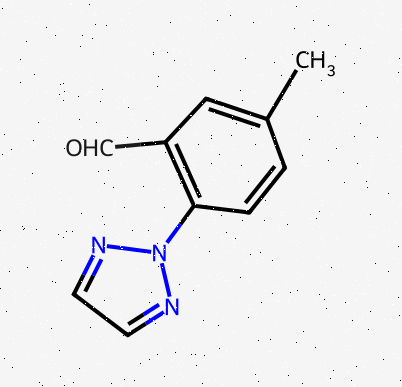 Cc1ccc(-n2nccn2)c(C=O)c1